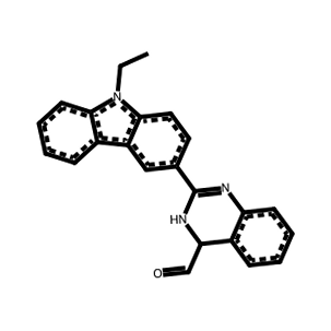 CCn1c2ccccc2c2cc(C3=Nc4ccccc4C(C=O)N3)ccc21